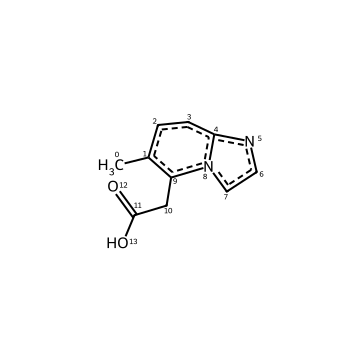 Cc1ccc2nccn2c1CC(=O)O